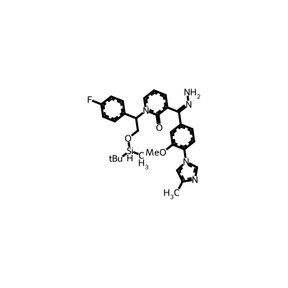 COc1cc(/C(=N/N)c2cccn(C(CO[SiH](C)C(C)(C)C)c3ccc(F)cc3)c2=O)ccc1-n1cnc(C)c1